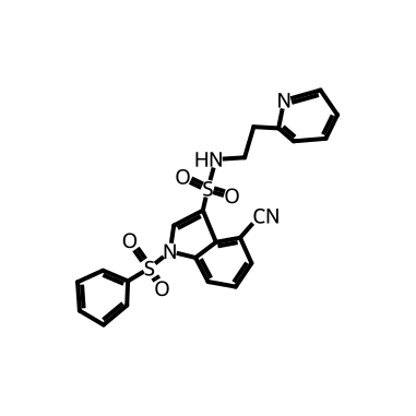 N#Cc1cccc2c1c(S(=O)(=O)NCCc1ccccn1)cn2S(=O)(=O)c1ccccc1